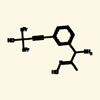 CCCC(O)(C#Cc1cccc(C(N)C(C)=NO)c1)CCC